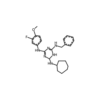 COc1ccc(NC2=NC(NC3CCCCCC3)NC(NCc3ccccc3)=N2)cc1F